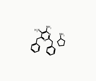 NC1CCCC1.Nc1nc(Cc2ccccc2)nc(Cc2ccccc2)c1N